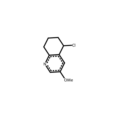 COc1cnc2c(c1)C(Cl)CCC2